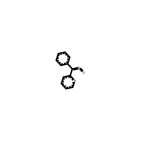 O=S=C(c1ccccc1)c1ccccn1